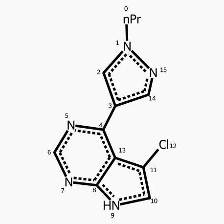 CCCn1cc(-c2ncnc3[nH]cc(Cl)c23)cn1